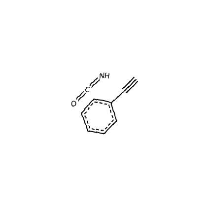 C#Cc1ccccc1.N=C=O